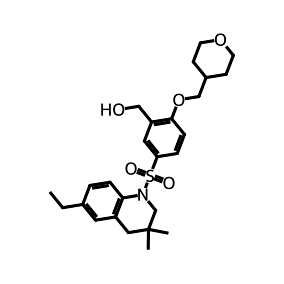 CCc1ccc2c(c1)CC(C)(C)CN2S(=O)(=O)c1ccc(OCC2CCOCC2)c(CO)c1